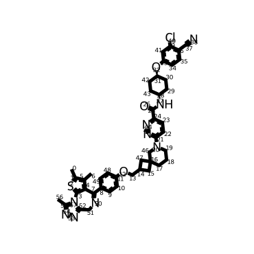 Cc1sc2c(c1C)C(c1ccc(OCC3CC4(CCCN(c5ccc(C(=O)N[C@H]6CC[C@H](Oc7ccc(C#N)c(Cl)c7)CC6)nn5)C4)C3)cc1)=NCc1nnc(C)n1-2